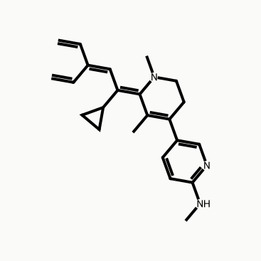 C=CC(C=C)=C/C(=C1/C(C)=C(c2ccc(NC)nc2)CCN1C)C1CC1